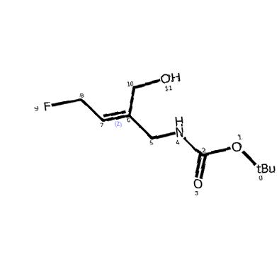 CC(C)(C)OC(=O)NC/C(=C/CF)CO